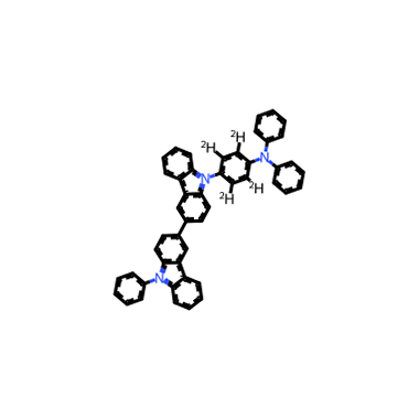 [2H]c1c([2H])c(-n2c3ccccc3c3cc(-c4ccc5c(c4)c4ccccc4n5-c4ccccc4)ccc32)c([2H])c([2H])c1N(c1ccccc1)c1ccccc1